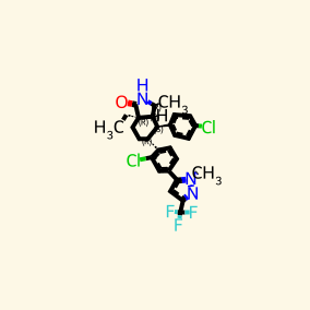 CC[C@@]12CC[C@@H](c3ccc(-c4cc(C(F)(F)F)nn4C)cc3Cl)[C@H](c3ccc(Cl)cc3)[C@@H]1[C@@H](C)NC2=O